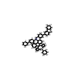 C(=C(\c1ccc(-c2ccccc2)cc1)c1cccc2c1-c1ccccc1C21c2ccccc2N(c2ccccc2)c2ccccc21)/c1ccc(-c2ccc3sc4ccccc4c3c2)cc1